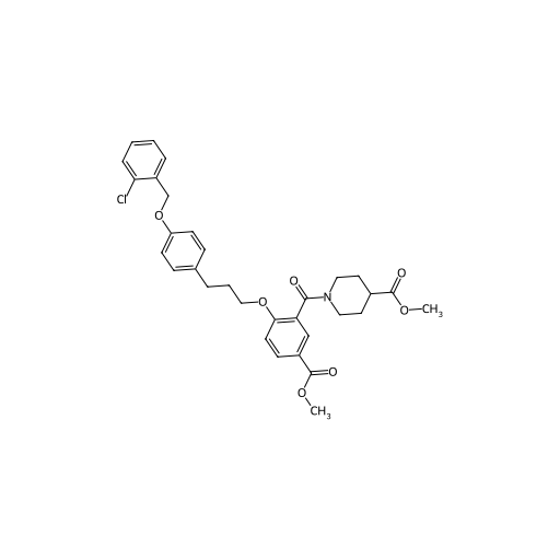 COC(=O)c1ccc(OCCCc2ccc(OCc3ccccc3Cl)cc2)c(C(=O)N2CCC(C(=O)OC)CC2)c1